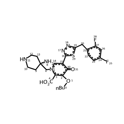 CCCCOc1c(C(=O)O)n(CC2(N)CCNCC2)cc(-c2nnc(Cc3ccc(F)cc3F)s2)c1=O